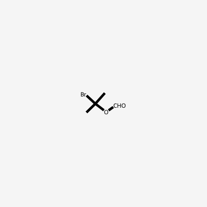 CC(C)(Br)OC=O